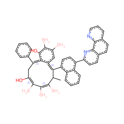 BC1=C(\B)C(C)/C(c2ccc(-c3ccc4ccc5cccnc5c4n3)c3ccccc23)=c2/cc(B)c(B)c(O)/c2=C(\c2ccccc2)C/C(O)=C\1B